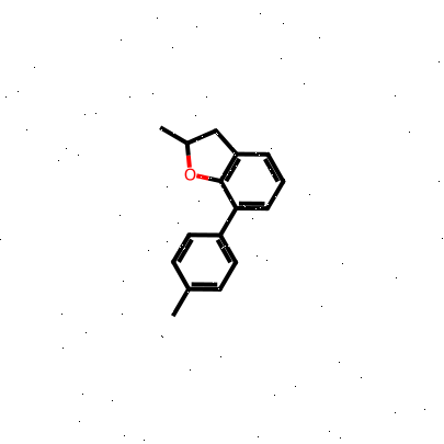 Cc1ccc(-c2cccc3c2OC(C)C3)cc1